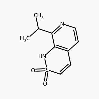 CC(C)c1nccc2c1NS(=O)(=O)C=C2